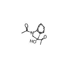 CC(=O)N1CC(O)(C(C)=O)c2ccccc21